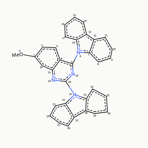 COc1ccc2c(-n3c4ccccc4c4ccccc43)nc(-n3c4ccccc4c4ccccc43)nc2c1